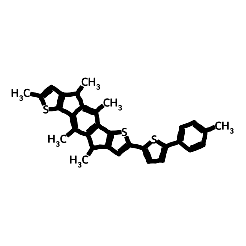 Cc1ccc(-c2ccc(-c3cc4c(s3)-c3c(C)c5c(c(C)c3C4C)-c3sc(C)cc3C5C)s2)cc1